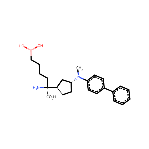 CN(c1ccc(-c2ccccc2)cc1)[C@@H]1CC[C@H]([C@@](N)(CCCCB(O)O)C(=O)O)C1